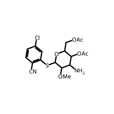 COC1C(Sc2cc(Cl)ccc2C#N)OC(COC(C)=O)C(OC(C)=O)C1N